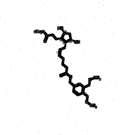 CCCCCCCC(=O)CC[C@@H]1[C@@H](C/C=C\CCCC(=O)OCc2ccc(CO[N+](=O)[O-])c(CO[N+](=O)[O-])c2)[C@@H](O)C[C@H]1O